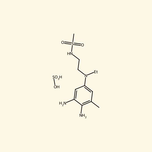 CCN(CCNS(C)(=O)=O)c1cc(C)c(N)c(N)c1.O=S(=O)(O)O